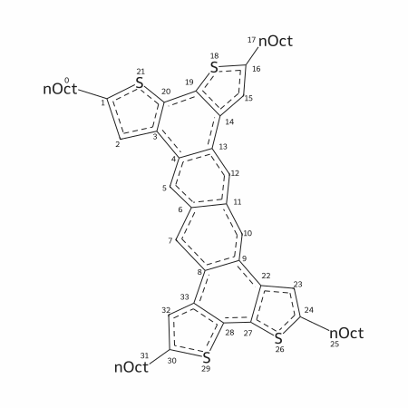 CCCCCCCCc1cc2c3cc4cc5c(cc4cc3c3cc(CCCCCCCC)sc3c2s1)c1cc(CCCCCCCC)sc1c1sc(CCCCCCCC)cc51